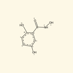 O=C(NO)c1cc(O)ccc1O